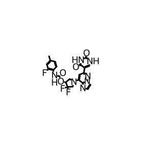 Cc1ccc(NC(=O)OC2CN(c3cc(-c4c[nH]c(=O)[nH]c4=O)nn4ccnc34)CC2(F)F)c(F)c1